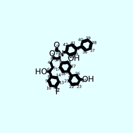 O=C1O[C@H](CCC(O)c2ccc(F)cc2)[C@@H](c2ccc(-c3cccc(O)c3)cc2O)N1c1ccc(-c2ccccc2)cc1